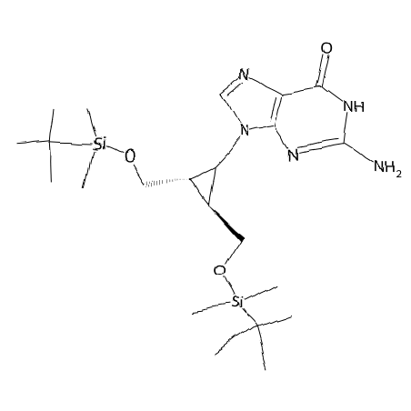 CC(C)(C)[Si](C)(C)OC[C@@H]1C(n2cnc3c(=O)[nH]c(N)nc32)[C@H]1CO[Si](C)(C)C(C)(C)C